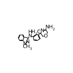 Cn1nc(Nc2cccc(C3(C)COCC(N)=N3)c2)c2ccccc21